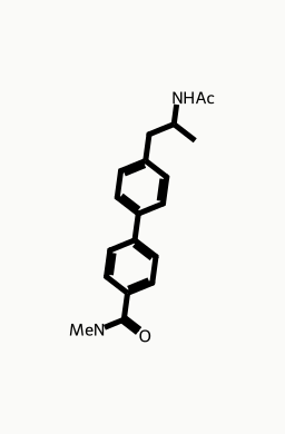 CNC(=O)c1ccc(-c2ccc(CC(C)NC(C)=O)cc2)cc1